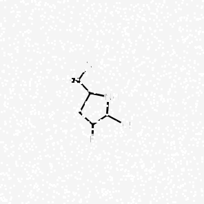 CC1NC(C(N)=O)CC1F